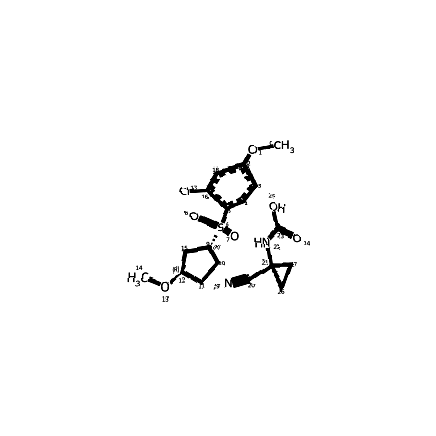 COc1ccc(S(=O)(=O)[C@@H]2CC[C@@H](OC)C2)c(Cl)c1.N#CC1(NC(=O)O)CC1